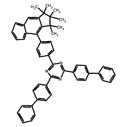 CC1(C)c2cc3ccccc3c(-c3ccc(-c4nc(-c5ccc(-c6ccccc6)cc5)nc(-c5ccc(-c6ccccc6)cc5)n4)cc3)c2C(C)(C)C1(C)C